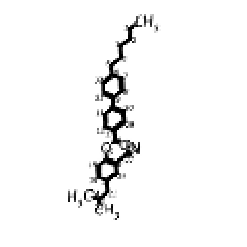 CCCCCCc1ccc(-c2ccc(C(=O)Oc3ccc(CC(C)C)cc3C#N)cc2)cc1